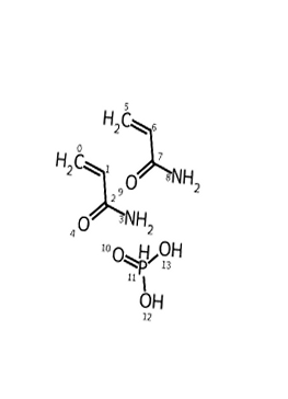 C=CC(N)=O.C=CC(N)=O.O=[PH](O)O